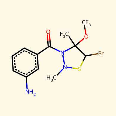 CN1SC(Br)C(OC(F)(F)F)(C(F)(F)F)N1C(=O)c1cccc(N)c1